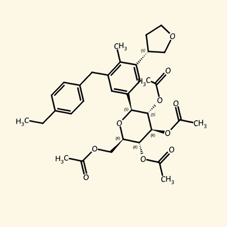 CCc1ccc(Cc2cc([C@@H]3O[C@H](COC(C)=O)[C@@H](OC(C)=O)[C@H](OC(C)=O)[C@H]3OC(C)=O)cc([C@@H]3CCOC3)c2C)cc1